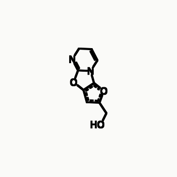 OCc1cc2c(o1)N1C=CCN=C1O2